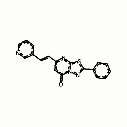 O=c1cc(/C=C/c2cccnc2)nc2sc(-c3ccccc3)nn12